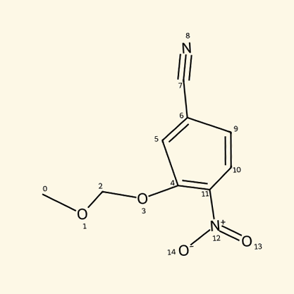 COCOc1cc(C#N)ccc1[N+](=O)[O-]